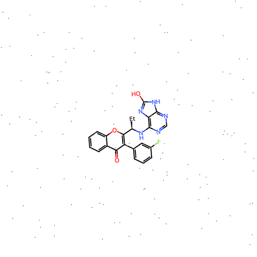 CC[C@@H](Nc1ncnc2[nH]c(O)nc12)c1oc2ccccc2c(=O)c1-c1cccc(F)c1